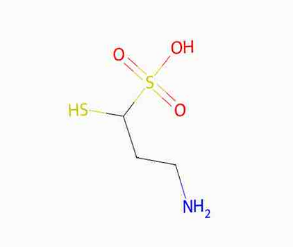 NCCC(S)S(=O)(=O)O